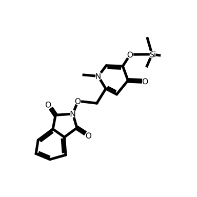 Cn1cc(O[Si](C)(C)C)c(=O)cc1CON1C(=O)c2ccccc2C1=O